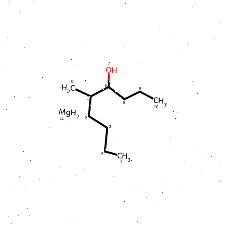 [CH2]C(CCCC)C(O)CCC.[MgH2]